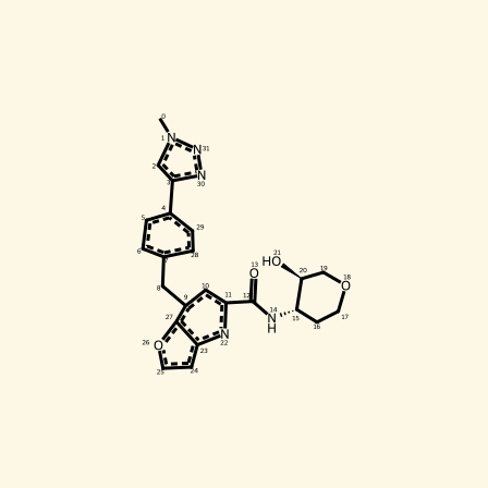 Cn1cc(-c2ccc(Cc3cc(C(=O)N[C@H]4CCOC[C@@H]4O)nc4ccoc34)cc2)nn1